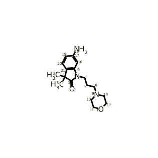 CC1(C)C(=O)N(CCCN2CCOCC2)c2cc(N)ccc21